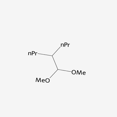 CCCC(CCC)C(OC)OC